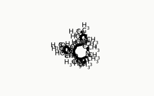 CC[C@@H]1[C@@H](C)N(C)C[C@@H](C)C[C@@](C)(OC)[C@H](O[C@@H]2O[C@H](C)C[C@H](C(C)C)[C@H]2O)[C@@H](C)[C@H](OC2C[C@@](C)(OC)[C@@H](O)[C@@H](C)O2)[C@@H](C)C(=O)O[C@H](CC)[C@@]1(C)OC